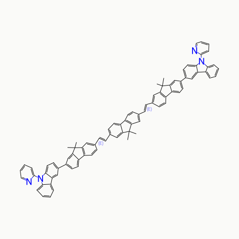 CC1(C)c2cc(/C=C/c3ccc4c(c3)C(C)(C)c3cc(-c5ccc6c(c5)c5ccccc5n6-c5ccccn5)ccc3-4)ccc2-c2ccc(/C=C/c3ccc4c(c3)C(C)(C)c3cc(-c5ccc6c(c5)c5ccccc5n6-c5ccccn5)ccc3-4)cc21